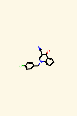 N#Cc1cn(Cc2ccc(Cl)cc2)c2ccccc2c1=O